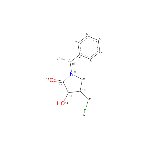 C[C@H](c1ccccc1)N1CC(CF)C(O)C1=O